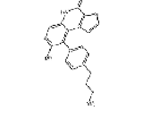 NCCCc1ccc(-c2c(O)ccc3[nH]c(=O)c4sccc4c23)cc1